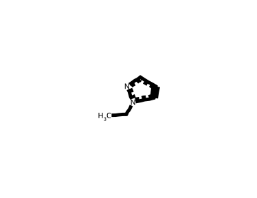 CCn1c#ccn1